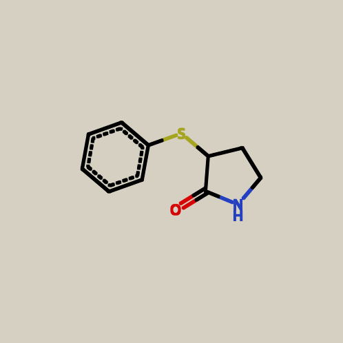 O=C1NCCC1Sc1ccccc1